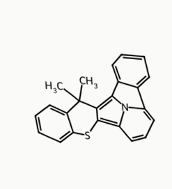 CC1(C)c2ccccc2Sc2c1c1c3ccccc3c3cccc2n31